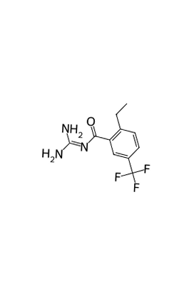 CCc1ccc(C(F)(F)F)cc1C(=O)N=C(N)N